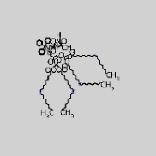 CCCCCCCC/C=C\CCCCCCCC(=O)OCC(COC(=O)CCCCCCC/C=C\CCCCCCCC)OC(=O)CC(C[C@H]1CN(C(c2ccccc2)(c2ccccc2)c2ccccc2)C[C@H](n2cc(C)c(=O)[nH]c2=O)O1)C(=O)OC(COC(=O)CCCCCCC/C=C\CCCCCCCC)COC(=O)CCCCCCC/C=C\CCCCCCCC